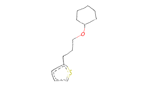 c1csc(CCCOC2CCCCC2)c1